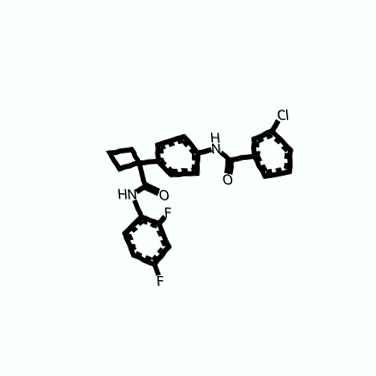 O=C(Nc1ccc(C2(C(=O)Nc3ccc(F)cc3F)CCC2)cc1)c1cccc(Cl)c1